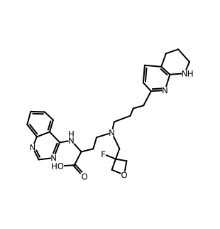 O=C(O)C(CCN(CCCCc1ccc2c(n1)NCCC2)CC1(F)COC1)Nc1ncnc2ccccc12